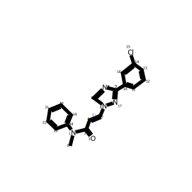 CN(C(=O)/C=C/n1cnc(-c2cccc(Cl)c2)n1)c1ccccc1